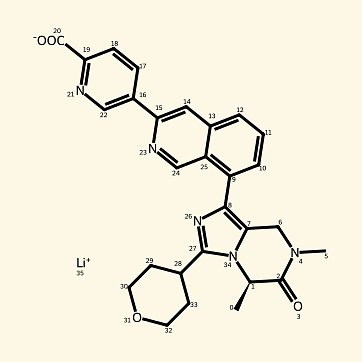 C[C@@H]1C(=O)N(C)Cc2c(-c3cccc4cc(-c5ccc(C(=O)[O-])nc5)ncc34)nc(C3CCOCC3)n21.[Li+]